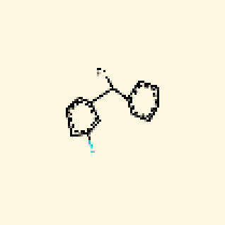 CC(C)C(c1ccccc1)c1cccc(F)c1